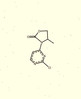 CC1COC(=O)N1c1ccnc(Cl)n1